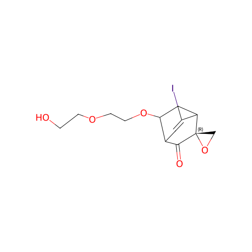 O=C1C2C=C(I)C(CC2OCCOCCO)[C@@]12CO2